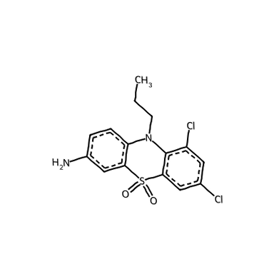 CCCN1c2ccc(N)cc2S(=O)(=O)c2cc(Cl)cc(Cl)c21